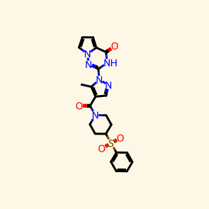 Cc1c(C(=O)N2CCC(S(=O)(=O)c3ccccc3)CC2)cnn1-c1nn2cccc2c(=O)[nH]1